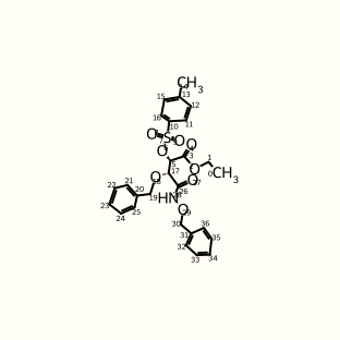 CCOC(=O)[C@H](OS(=O)(=O)c1ccc(C)cc1)[C@@H](OCc1ccccc1)C(=O)NOCc1ccccc1